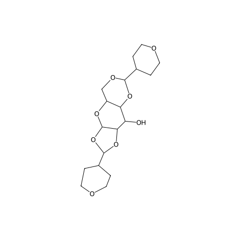 OC1C2OC(C3CCOCC3)OCC2OC2OC(C3CCOCC3)OC21